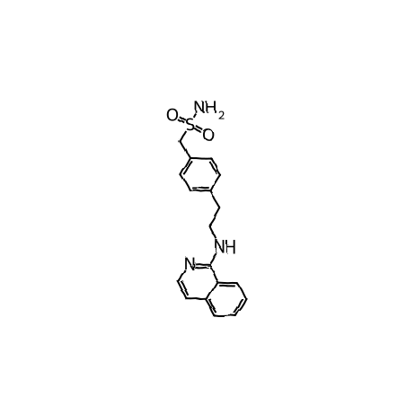 NS(=O)(=O)Cc1ccc(CCNc2nccc3ccccc23)cc1